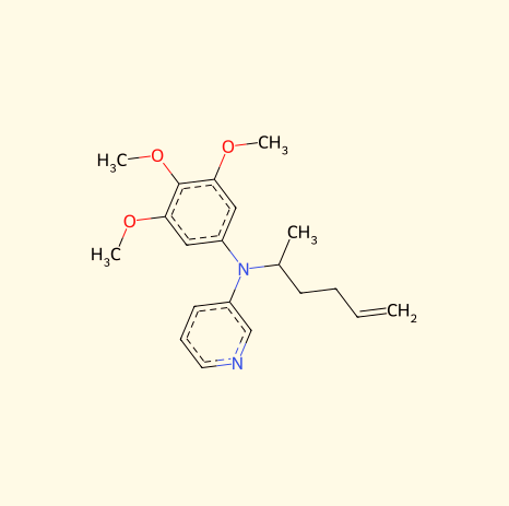 C=CCCC(C)N(c1cccnc1)c1cc(OC)c(OC)c(OC)c1